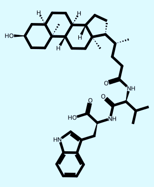 CC(C)[C@H](NC(=O)CC[C@@H](C)[C@H]1CC[C@H]2[C@@H]3CC[C@@H]4C[C@H](O)CC[C@]4(C)[C@H]3CC[C@]12C)C(=O)N[C@@H](Cc1c[nH]c2ccccc12)C(=O)O